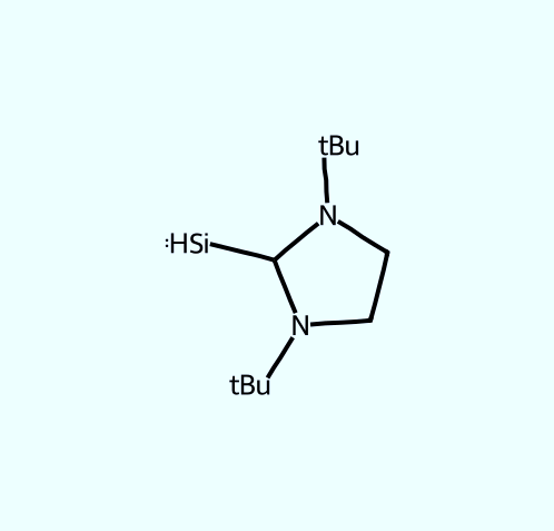 CC(C)(C)N1CCN(C(C)(C)C)C1[SiH]